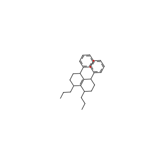 CCCC1CCC(c2ccccc2)C2=C1C(CCC)CCC2c1ccccc1